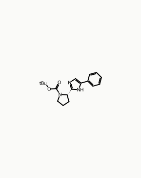 CC(C)(C)OC(=O)N1CCC[C@H]1c1ncc(-c2ccccc2)[nH]1